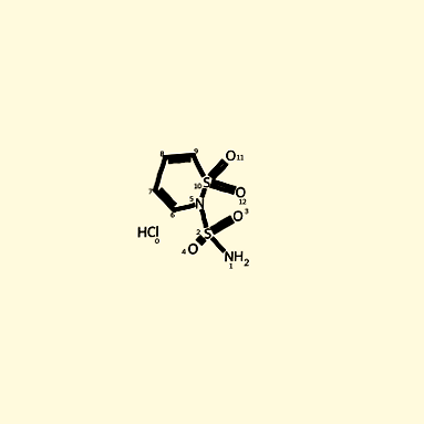 Cl.NS(=O)(=O)N1C=CC=CS1(=O)=O